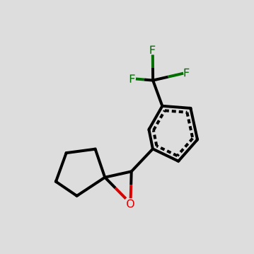 FC(F)(F)c1cccc(C2OC23CCCC3)c1